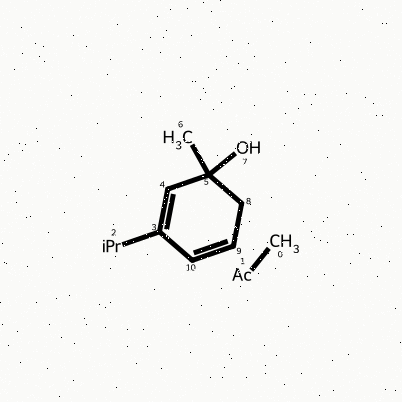 CC(C)=O.CC(C)C1=CC(C)(O)CC=C1